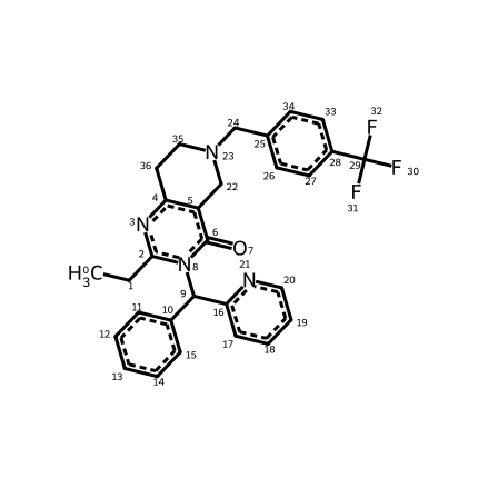 CCc1nc2c(c(=O)n1C(c1ccccc1)c1ccccn1)CN(Cc1ccc(C(F)(F)F)cc1)CC2